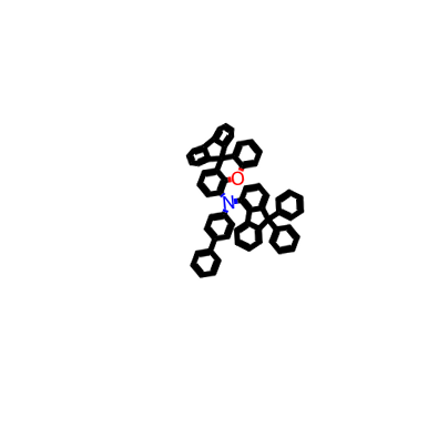 c1ccc(-c2ccc(N(c3cccc4c3Oc3ccccc3C43c4ccccc4-c4ccccc43)c3cccc4c3-c3ccccc3C4(c3ccccc3)c3ccccc3)cc2)cc1